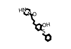 O=C(CCCC1C=CC(SCc2ccccc2)=C(O)C1)N1CCNCC1